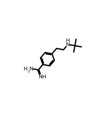 CC(C)(C)NCCc1ccc(C(=N)N)cc1